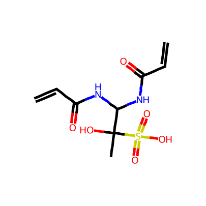 C=CC(=O)NC(NC(=O)C=C)C(C)(O)S(=O)(=O)O